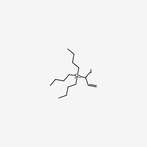 C=C[C](I)[Sn]([CH2]CCC)([CH2]CCC)[CH2]CCC